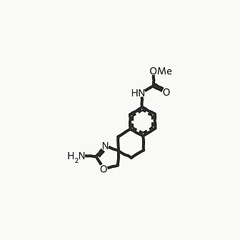 COC(=O)Nc1ccc2c(c1)CC1(CC2)COC(N)=N1